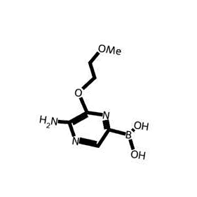 COCCOc1nc(B(O)O)cnc1N